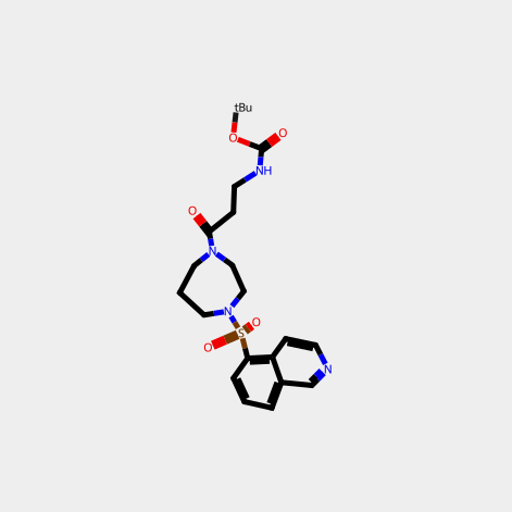 CC(C)(C)OC(=O)NCCC(=O)N1CCCN(S(=O)(=O)c2cccc3cnccc23)CC1